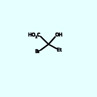 CCC(O)(Br)C(=O)O